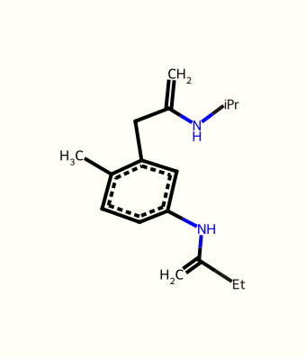 C=C(CC)Nc1ccc(C)c(CC(=C)NC(C)C)c1